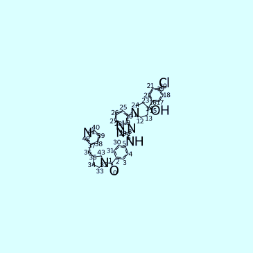 O=C(c1ccc(Nc2nc3c(N4CCC(O)(c5ccc(Cl)cc5)CC4)cccn3n2)cc1)N1CCC(Cc2cccnc2)C1